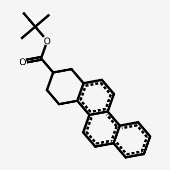 CC(C)(C)OC(=O)C1CCc2c(ccc3c2ccc2ccccc23)C1